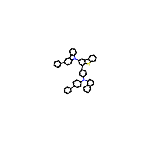 c1ccc(-c2ccc(N(c3ccc(-c4cc(-n5c6ccccc6c6cc(-c7ccccc7)ccc65)cc5c4sc4ccccc45)cc3)c3cccc4ccccc34)cc2)cc1